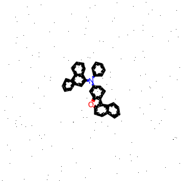 c1ccc(N(c2ccc3c(c2)oc2ccc4ccccc4c23)c2cc3ccccc3c3ccccc23)cc1